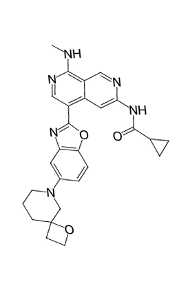 CNc1ncc(-c2nc3cc(N4CCCC5(CCO5)C4)ccc3o2)c2cc(NC(=O)C3CC3)ncc12